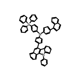 c1ccc(-n2c3ccccc3c3c(-c4ccc(N(c5ccc(-c6cccc7ccccc67)cc5)c5ccc([Si](c6ccccc6)(c6ccccc6)c6ccccc6)cc5)cc4)cc4ccccc4c32)cc1